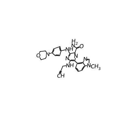 C#CCNc1nc(Nc2ccc(N3CCOCC3)cc2)c(C(N)=O)nc1-c1cccc2c1ncn2C